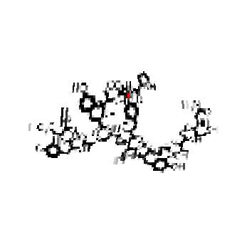 CC(C)CC(NC(=O)C(Cc1ccc(O)cc1)NC(=O)C(CSCC(=O)NC(Cc1ccc(O)cc1)C(=O)NC(CC(=O)O)C(N)=O)NC(=O)C(Cc1ccc(O)cc1)NC(=O)C(CC(=O)O)NC(=O)CNC(=O)C1CCCN1)C(=O)NC(Cc1ccc(O)cc1)C(=O)NCC(=O)NC(C(=O)NC(CS)C(=O)NCC(N)=O)C(C)O